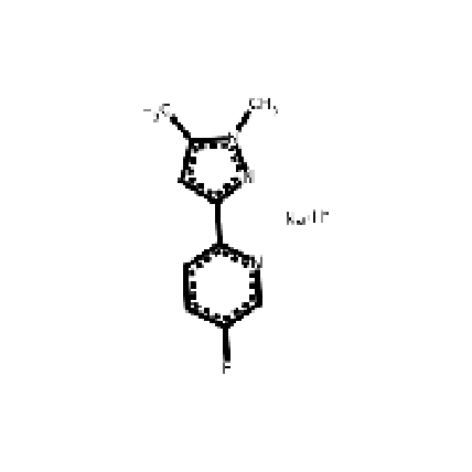 Cc1cc(-c2ccc(F)cn2)nn1C.[H-].[Na+]